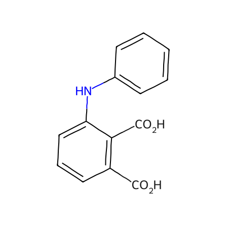 O=C(O)c1cccc(Nc2ccccc2)c1C(=O)O